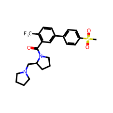 CS(=O)(=O)c1ccc(-c2ccc(C(F)(F)F)c(C(=O)N3CCCC3CN3CCCC3)c2)cc1